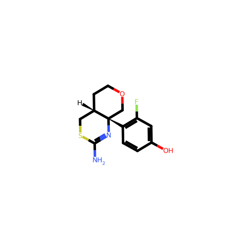 NC1=N[C@@]2(c3ccc(O)cc3F)COCC[C@H]2CS1